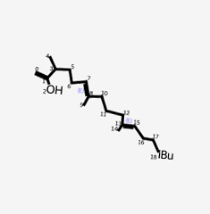 C=C(O)C(C)CC/C=C(\C)CCC/C(C)=C/CCC(C)CC